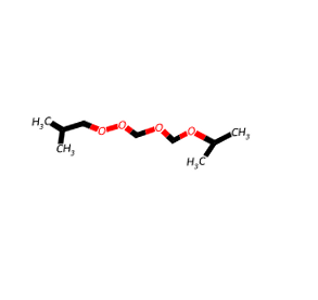 CC(C)COOCOCOC(C)C